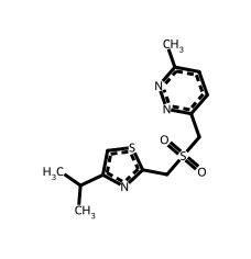 Cc1ccc(CS(=O)(=O)Cc2nc(C(C)C)cs2)nn1